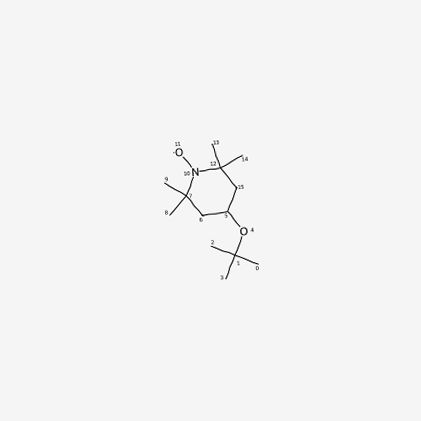 CC(C)(C)OC1CC(C)(C)N([O])C(C)(C)C1